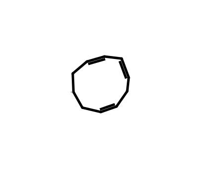 [CH]1CC=CC=CCC=CC1